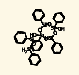 O[Si]1(c2ccccc2)O[SiH](c2ccccc2)O[Si](O[SiH](O[SiH2]c2ccccc2)c2ccccc2)(c2ccccc2)O[SiH](c2ccccc2)O1